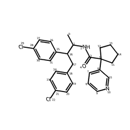 CC(NC(=O)C1(c2cccnc2)CCCC1)C(Cc1ccc(Cl)cc1)c1ccc(Cl)cc1